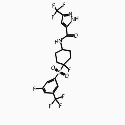 O=C(NC1CCC(F)(S(=O)(=O)c2cc(F)cc(C(F)(F)F)c2)CC1)c1cc(C(F)(F)F)n[nH]1